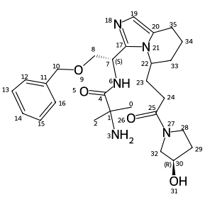 CC(C)(N)C(=O)N[C@H](COCc1ccccc1)c1ncc2n1C(CCC(=O)N1CC[C@@H](O)C1)CCC2